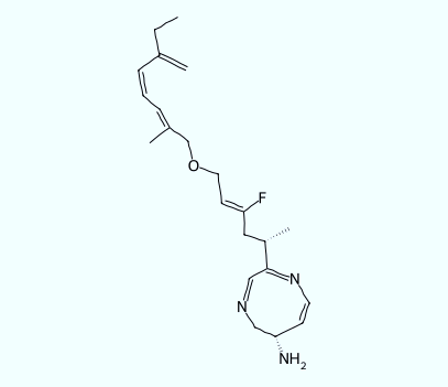 C=C(/C=C\C=C(/C)COC/C=C(\F)C[C@H](C)C1=N/C=C\[C@H](N)C/N=C\1)CC